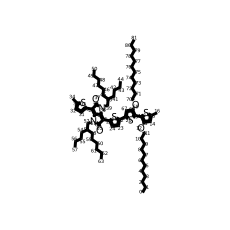 CCCCCCCCCCCCOc1cc(C)sc1-c1sc(-c2ccc(C3=C4C(=C(c5ccc(C)s5)C(=O)N4CC(CCCC)CCCCCC)N(CC(CCCC)CCCCCC)C3=O)s2)cc1OCCCCCCCCCCCC